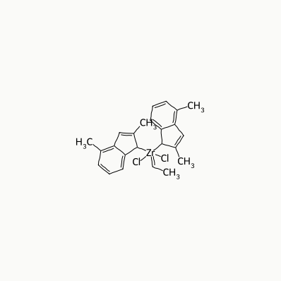 C[CH]=[Zr]([Cl])([Cl])([CH]1C(C)=Cc2c(C)cccc21)[CH]1C(C)=Cc2c(C)cccc21